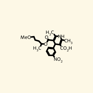 COCCCC(C)OC(=O)C1=C(C)NC(C)=C(C(=O)O)C1c1cccc([N+](=O)[O-])c1